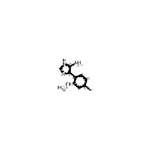 Cc1ccc(-c2nc[nH]c2N)cc1.Cl.Cl